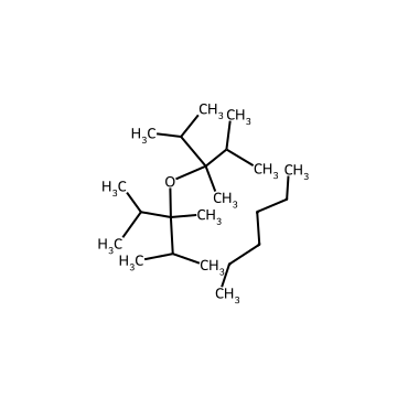 CC(C)C(C)(OC(C)(C(C)C)C(C)C)C(C)C.CCCCCC